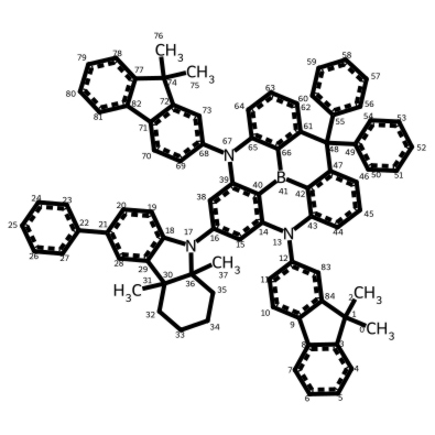 CC1(C)c2ccccc2-c2ccc(N3c4cc(N5c6ccc(-c7ccccc7)cc6C6(C)CCCCC56C)cc5c4B4c6c3cccc6C(c3ccccc3)(c3ccccc3)c3cccc(c34)N5c3ccc4c(c3)C(C)(C)c3ccccc3-4)cc21